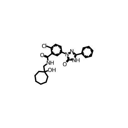 O=C(NCC1(O)CCCCCC1)c1cc(-n2nc(-c3ccccc3)[nH]c2=O)ccc1Cl